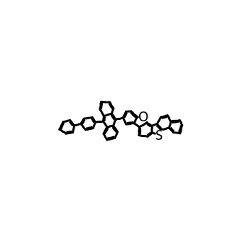 c1ccc(-c2ccc(-c3c4ccccc4c(-c4ccc5oc6c(ccc7sc8c9ccccc9ccc8c76)c5c4)c4ccccc34)cc2)cc1